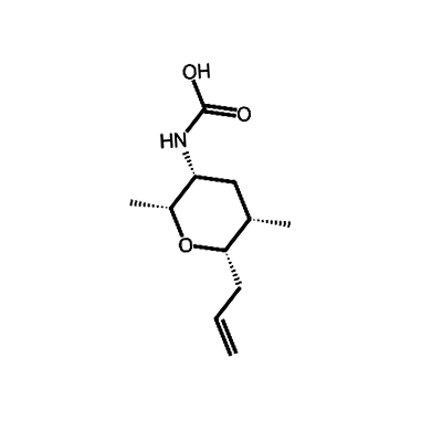 C=CC[C@@H]1O[C@H](C)[C@H](NC(=O)O)C[C@@H]1C